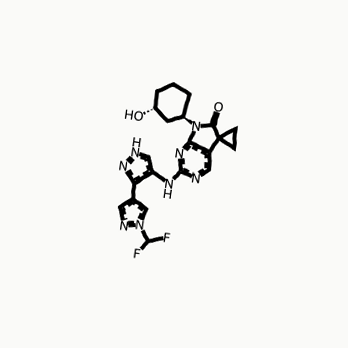 O=C1N([C@@H]2CCC[C@@H](O)C2)c2nc(Nc3c[nH]nc3-c3cnn(C(F)F)c3)ncc2C12CC2